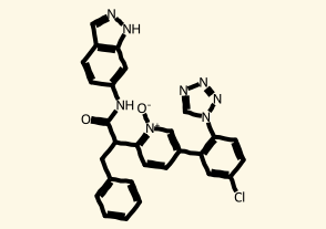 O=C(Nc1ccc2cn[nH]c2c1)C(Cc1ccccc1)c1ccc(-c2cc(Cl)ccc2-n2cnnn2)c[n+]1[O-]